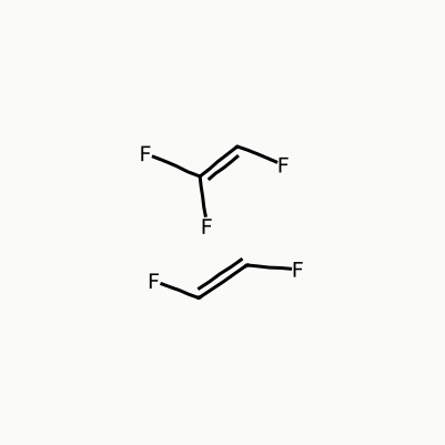 FC=C(F)F.FC=CF